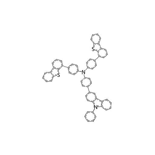 c1ccc(-n2c3ccccc3c3cc(-c4ccc(N(c5ccc(-c6cccc7c6sc6ccccc67)cc5)c5ccc(-c6cccc7c6sc6ccccc67)cc5)cc4)ccc32)cc1